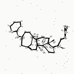 C[C@H](CN=[N+]=[N-])[C@H]1CC[C@H]2[C@@H]3CC=C4C[C@@H](OC5CCCCO5)CC[C@@](C)(C4)[C@H]3CC[C@]12C